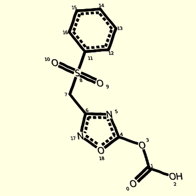 O=C(O)Oc1nc(CS(=O)(=O)c2ccccc2)no1